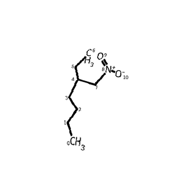 CCCCC(CC)C[N+](=O)[O-]